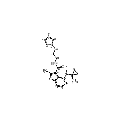 Cc1oc2ncnc(NC3(C)CC3)c2c1C(=O)NCCCn1ccnc1